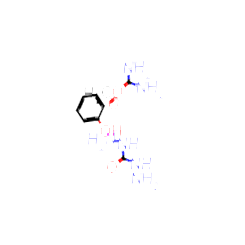 C=O.NC(N)=O.NNC(=O)NN.Oc1ccccc1